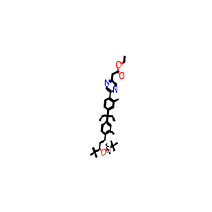 CCOC(=O)Cc1cnc(-c2ccc(C(CC)(CC)c3ccc(CCC(O[Si](C)(C)C(C)(C)C)C(C)(C)C)c(C)c3)cc2C)cn1